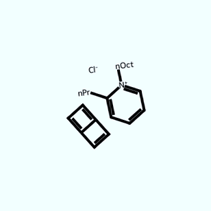 CCCCCCCC[n+]1ccccc1CCC.[Cl-].c1cc2ccc1-2